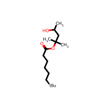 CC(O)CC(C)(C)OC(=O)CCCCCC(C)(C)C